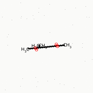 CCCCCCCOC(=O)CCCCCCCCCCCCCCCC(CCC(=O)OCCCCCCC)C(C)C